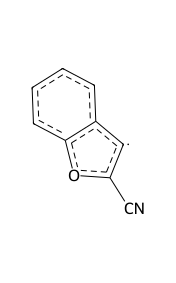 N#Cc1[c]c2ccccc2o1